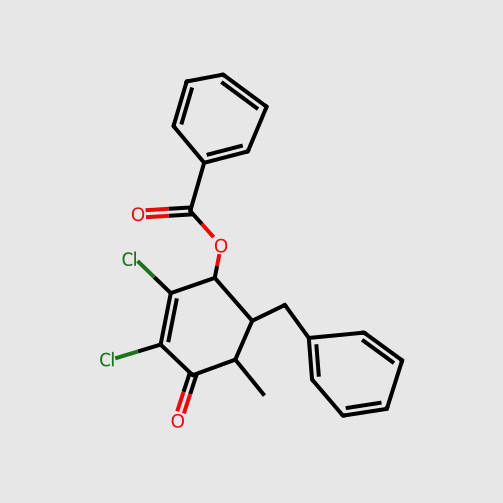 CC1C(=O)C(Cl)=C(Cl)C(OC(=O)c2ccccc2)C1Cc1ccccc1